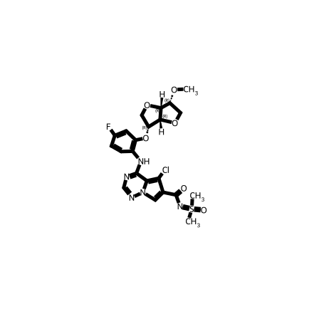 CO[C@@H]1CO[C@H]2[C@@H]1OC[C@H]2Oc1cc(F)ccc1Nc1ncnn2cc(C(=O)N=S(C)(C)=O)c(Cl)c12